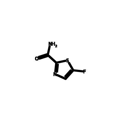 NC(=O)c1ncc(F)s1